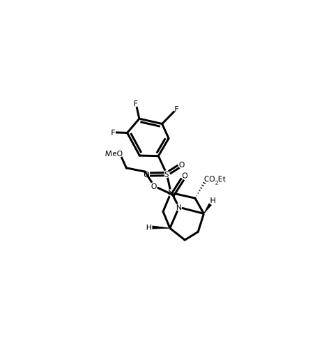 CCOC(=O)[C@@H]1[C@@H]2CC[C@H](CN1S(=O)(=O)c1cc(F)c(F)c(F)c1)N2C(=O)OCCOC